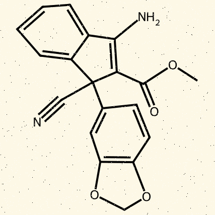 COC(=O)C1=C(N)c2ccccc2C1(C#N)c1ccc2c(c1)OCO2